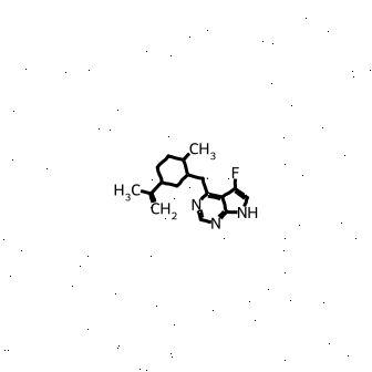 C=C(C)C1CCC(C)C([CH]c2ncnc3[nH]cc(F)c23)C1